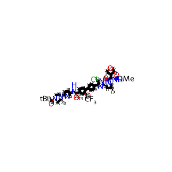 COC(=O)N[C@H](C(=O)N1C[C@@H](C)C[C@H]1c1nc(-c2ccc(-c3ccc(C(=O)Nc4ccc(N5CCN(C(=O)C(C)(C)C)C[C@H]5C)nc4)c(F)c3OC(F)(F)F)cc2)c(Cl)[nH]1)C1CCOCC1